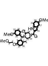 COCCOc1ccc(C[C@H]2CN(C(=O)c3cc4cc(OC)ccc4[nH]3)CC(=O)N2Cc2cccc(OC)c2)cc1